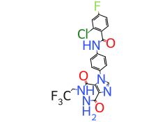 NC(=O)c1ncn(-c2ccc(NC(=O)c3ccc(F)cc3Cl)cc2)c1C(=O)NCC(F)(F)F